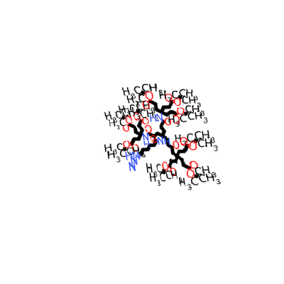 CC(C)(C)OC(=O)CCC(CCC(=O)OC(C)(C)C)(CCC(=O)OC(C)(C)C)CC(=O)CCC(CCC(=O)NC(CCC(=O)OC(C)(C)C)(CCC(=O)OC(C)(C)C)CCC(=O)OC(C)(C)C)(CCC(=O)NC(CCC(=O)OC(C)(C)C)(CCC(=O)OC(C)(C)C)CCC(=O)OC(C)(C)C)NC(=O)CCCCCN[N+]#N